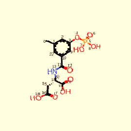 Cc1cc(OP(=O)(O)O)cc(C(=O)N[C@@H](CC(=O)O)C(=O)O)c1